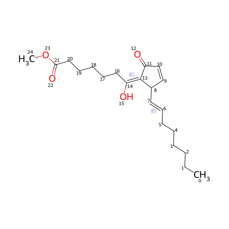 CCCCCC/C=C/C1C=CC(=O)/C1=C(/O)CCCCCC(=O)OC